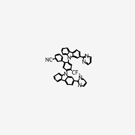 N#Cc1cccc(-c2cc(-n3c4ccccc4c4ccc(-c5ncccn5)cc43)c(C(F)(F)F)cc2-n2c3ccccc3c3ccc(-c4ncccn4)cc32)c1